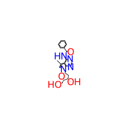 Cc1cn([C@@H]2C[C@H](O)[C@@H](CO)O2)c2ncnc(NC(=O)c3ccccc3)c12